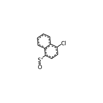 O=[S+]c1ccc(Cl)c2ccccc12